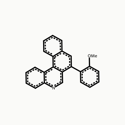 COc1ccccc1-c1cc2ccccc2c2c1cnc1ccccc12